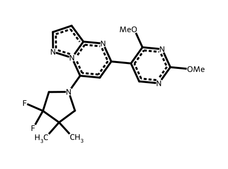 COc1ncc(-c2cc(N3CC(C)(C)C(F)(F)C3)n3nccc3n2)c(OC)n1